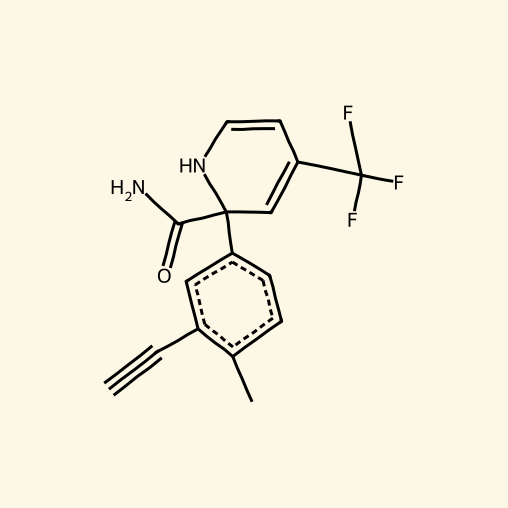 C#Cc1cc(C2(C(N)=O)C=C(C(F)(F)F)C=CN2)ccc1C